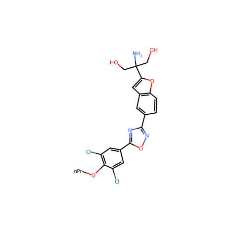 CCCOc1c(Cl)cc(-c2nc(-c3ccc4oc(C(N)(CO)CO)cc4c3)no2)cc1Cl